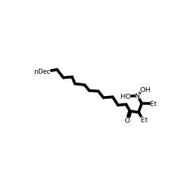 CCCCCCCCCCCCCCCCCCCCCC(=O)C(CC)C(CC)N(O)O